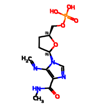 C=Nc1c(C(=O)NC)ncn1[C@H]1CC[C@@H](COP(=O)(O)O)O1